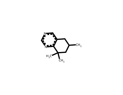 CC1Cc2cncnc2C(C)(C)C1